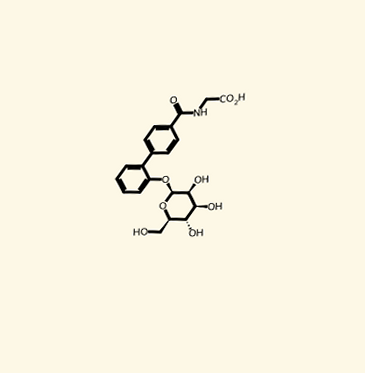 O=C(O)CNC(=O)c1ccc(-c2ccccc2O[C@@H]2O[C@H](CO)[C@@H](O)[C@H](O)[C@@H]2O)cc1